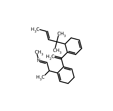 C=C(C1=CCCC=C1C(C)/C=N/C)C1=CC=CCC1C(C)(C)C=CC